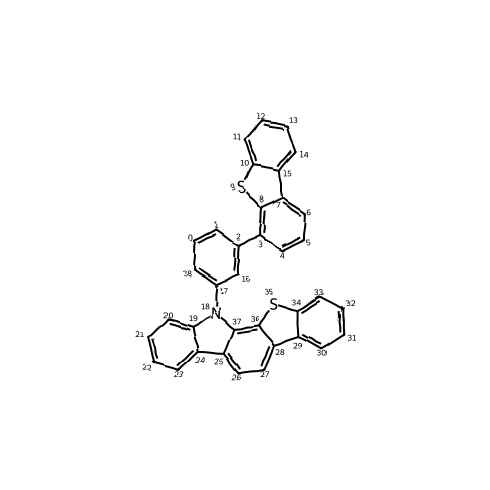 c1cc(-c2cccc3c2sc2ccccc23)cc(-n2c3ccccc3c3ccc4c5ccccc5sc4c32)c1